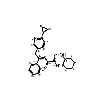 O=C(N[C@H]1CCCC[C@@H]1O)c1cc(Cc2ccc(C3CC3)nc2)c2ccccc2n1